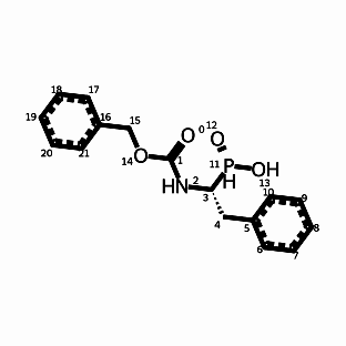 O=C(N[C@@H](Cc1ccccc1)[PH](=O)O)OCc1ccccc1